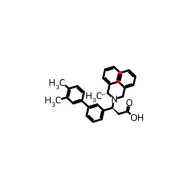 Cc1ccc(-c2cccc([C@H](CC(=O)O)N(Cc3ccccc3)[C@H](C)c3ccccc3)c2)cc1C